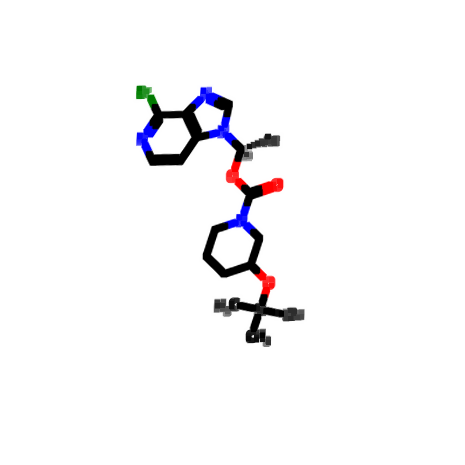 CC(=O)[C@H](OC(=O)N1CCCC(O[Si](C)(C)C(C)(C)C)C1)n1cnc2c(Br)nccc21